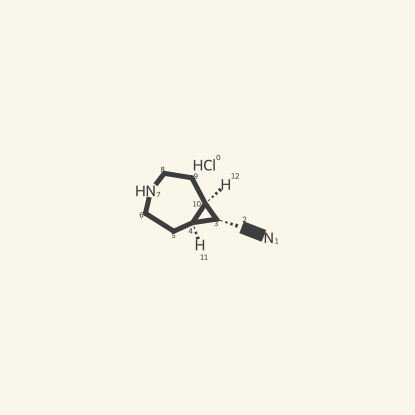 Cl.N#C[C@@H]1[C@H]2CCNCC[C@@H]12